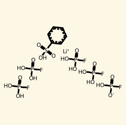 O=P(O)(O)F.O=P(O)(O)F.O=P(O)(O)F.O=P(O)(O)F.O=P([O-])(O)F.O=S(=O)(O)c1ccccc1.[Li+]